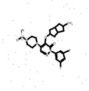 CC1CC2CC(Oc3c(N4CCN([S@+]([O-])C(C)C)CC4)cnn(-c4cc(F)cc(F)c4)c3=O)CC2C1